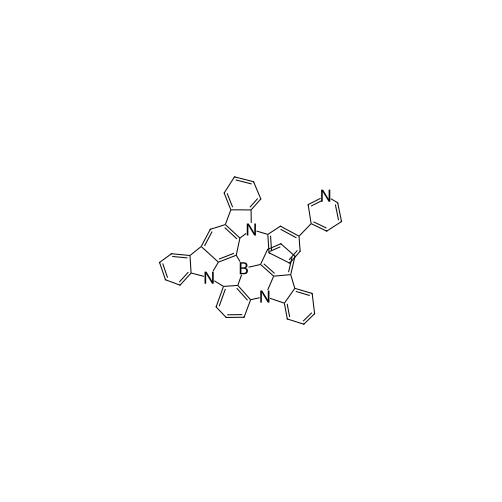 c1cncc(-c2cccc(-n3c4ccccc4c4cc5c6ccccc6n6c5c(c43)B3c4c(cccc4-6)-n4c5ccccc5c5cccc3c54)c2)c1